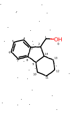 OCC1c2ccccc2C2CCCCC12